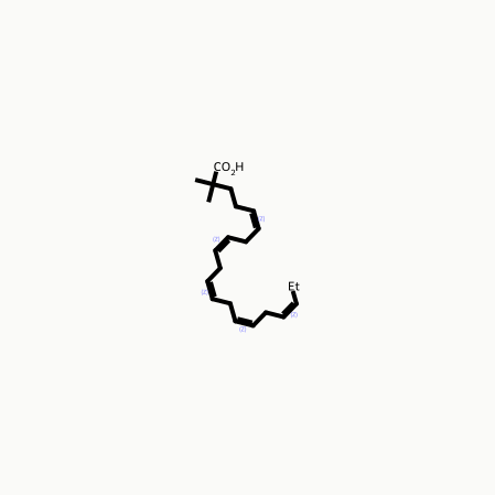 CC/C=C\C/C=C\C/C=C\C/C=C\C/C=C\CCC(C)(C)C(=O)O